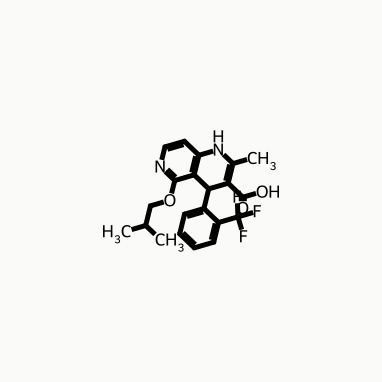 CC1=C(C(=O)O)C(c2ccccc2C(F)(F)F)c2c(ccnc2OCC(C)C)N1